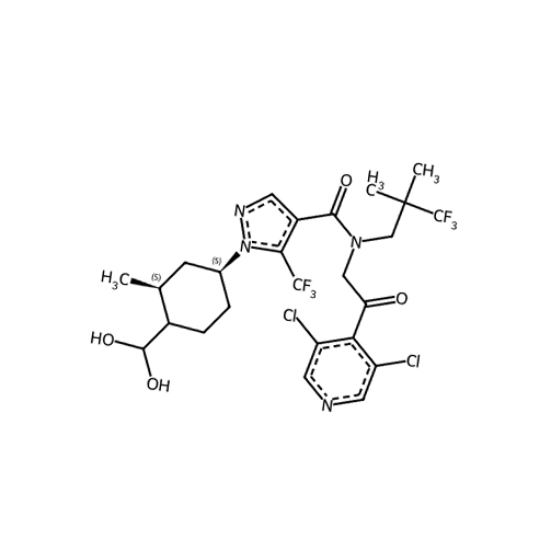 C[C@H]1C[C@@H](n2ncc(C(=O)N(CC(=O)c3c(Cl)cncc3Cl)CC(C)(C)C(F)(F)F)c2C(F)(F)F)CCC1C(O)O